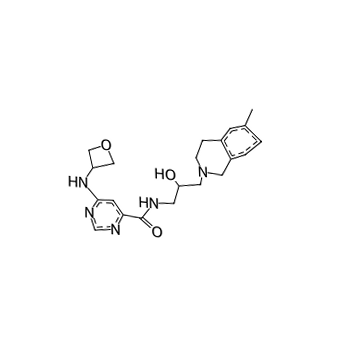 Cc1ccc2c(c1)CCN(CC(O)CNC(=O)c1cc(NC3COC3)ncn1)C2